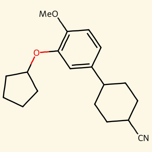 COc1ccc(C2CCC(C#N)CC2)cc1OC1CCCC1